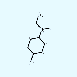 CCCCC1CCC(N(C)CC(F)(F)F)CC1